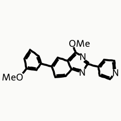 COc1cccc(-c2ccc3nc(-c4ccncc4)nc(OC)c3c2)c1